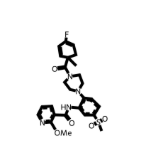 COc1ncccc1C(=O)Nc1cc(S(C)(=O)=O)ccc1N1CCN(C(=O)C2(C)C=CC(F)=CC2)CC1